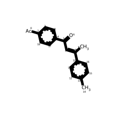 CC(=O)c1ccc(C(=O)/C=C(\C)c2ccc(C)cc2)cc1